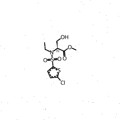 CCN([C@@H](CO)C(=O)OC)S(=O)(=O)c1ccc(Cl)s1